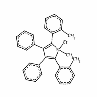 CC[Si]1(C)C(c2ccccc2C)=C(c2ccccc2)C(c2ccccc2)=C1c1ccccc1C